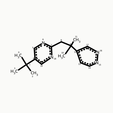 CC(C)(C)c1cnc(CC(C)(C)c2ccnnc2)nc1